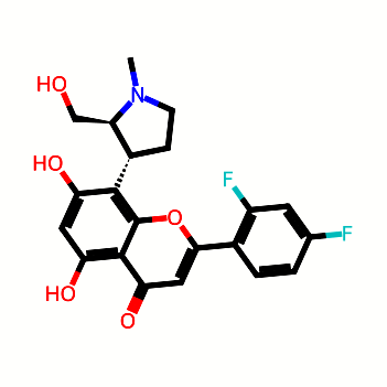 CN1CC[C@H](c2c(O)cc(O)c3c(=O)cc(-c4ccc(F)cc4F)oc23)[C@H]1CO